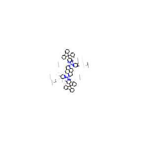 Cc1ccc(N(c2c(C)cc(C3(c4ccccc4)c4ccccc4-c4ccccc43)cc2C)c2ccc3ccc4c(N(c5ccc(C)cc5)c5c(C)cc(C6(c7ccccc7)c7ccccc7-c7ccccc76)cc5C)ccc5ccc2c3c54)cc1